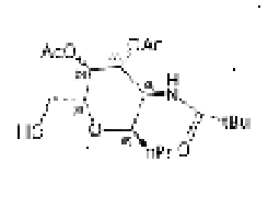 CCC[C@H]1O[C@H](CO)[C@@H](OC(C)=O)[C@H](OC(C)=O)[C@H]1NC(=O)C(C)(C)C